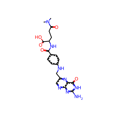 CN(C)C(=O)CCC(NC(=O)c1ccc(NCc2cnc3nc(N)[nH]c(=O)c3n2)cc1)C(=O)O